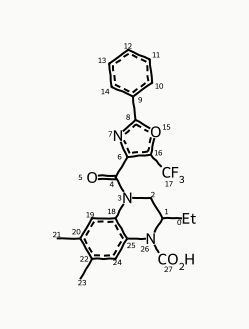 CCC1CN(C(=O)c2nc(-c3ccccc3)oc2C(F)(F)F)c2cc(C)c(C)cc2N1C(=O)O